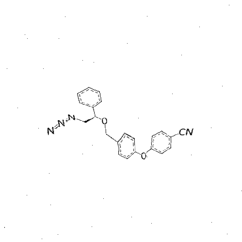 N#Cc1ccc(Oc2ccc(CO[C@@H](CN=[N+]=[N-])c3ccccc3)cc2)cc1